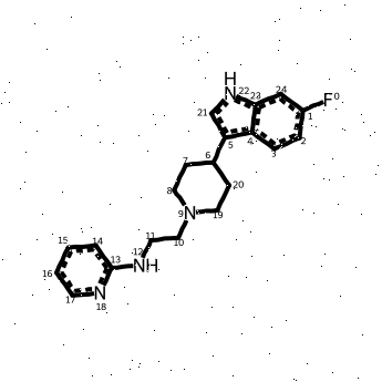 Fc1ccc2c(C3CCN(CCNc4ccccn4)CC3)c[nH]c2c1